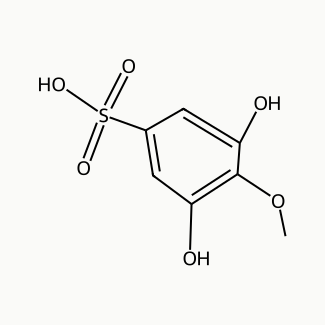 COc1c(O)cc(S(=O)(=O)O)cc1O